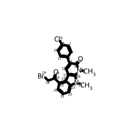 Cn1c(=O)c(-c2ccc(Cl)cc2)cc2c3c(C(=O)CBr)cccc3n(C)c21